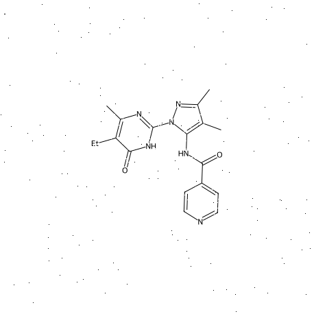 CCc1c(C)nc(-n2nc(C)c(C)c2NC(=O)c2ccncc2)[nH]c1=O